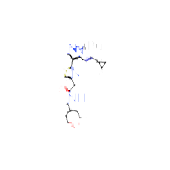 CC(C)(C)n1ncc(-c2nc(CC(=O)NCC3CCOCC3)cs2)c1/C=C/C1CC1